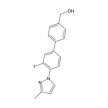 Cc1ccn(-c2ccc(-c3ccc(CO)cc3)cc2I)n1